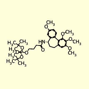 COc1ccc2c(c1)[C@@H](NC(=O)CCCOP(=O)(OC(C)(C)C)OC(C)(C)C)CCc1cc(OC)c(OC)c(OC)c1-2